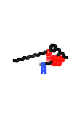 CCCCCCCCCCCCCOc1cccc(CC(COP(=O)(O)OCCCNC)CC(C)=O)c1